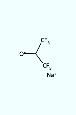 [Na+].[O-]C(C(F)(F)F)C(F)(F)F